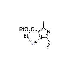 C=Cc1nc(C)c(C(=O)OCC)n1/C=C\CC